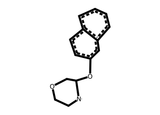 c1ccc2cc(OC3COCC[N]3)ccc2c1